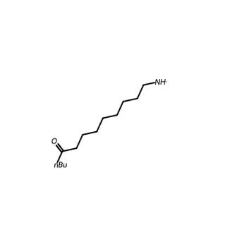 CCCCC(=O)CCCCCCCC[NH]